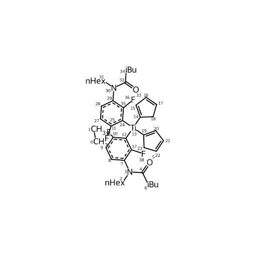 CC.CCCCCCN(C(=O)C(C)CC)c1ccc(F)[c]([Ti]([C]2=CC=CC2)([C]2=CC=CC2)[c]2c(F)ccc(N(CCCCCC)C(=O)C(C)CC)c2F)c1F